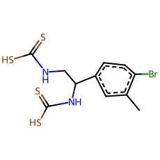 Cc1cc(C(CNC(=S)S)NC(=S)S)ccc1Br